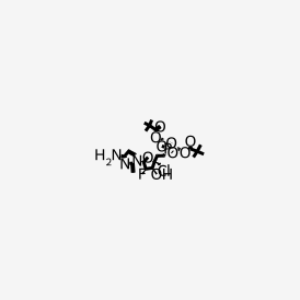 C=C1N=C(N)C=CN1[C@@H]1O[C@](CCl)(CCP(=O)(OCOC(=O)C(C)(C)C)OCOC(=O)C(C)(C)C)[C@@H](O)[C@H]1F